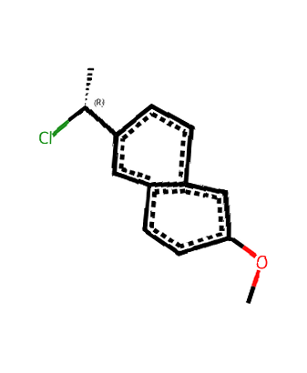 COc1ccc2cc([C@@H](C)Cl)ccc2c1